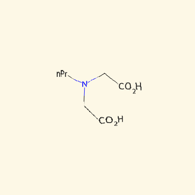 CCCN(CC(=O)O)CC(=O)O